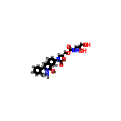 O=C(NCC(O)CO)OC[C@H]1CN(c2ccc3cc(-c4ccccc4C(F)(F)F)[nH]c(=O)c3c2)C(=O)O1